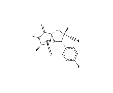 CN1C(=O)[C@@]23C[C@](C)(C#N)[C@H](c4ccc(F)cc4)N2C(=O)[C@]1(C)SS3